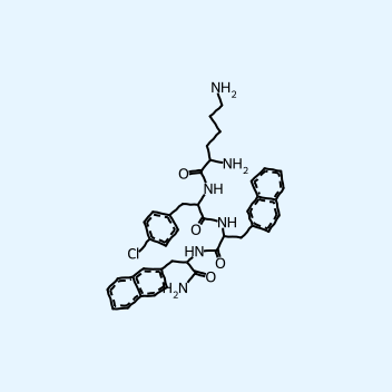 NCCCCC(N)C(=O)NC(Cc1ccc(Cl)cc1)C(=O)NC(Cc1ccc2ccccc2c1)C(=O)NC(Cc1ccc2ccccc2c1)C(N)=O